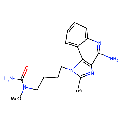 CCCc1nc2c(N)nc3ccccc3c2n1CCCCN(OC)C(N)=O